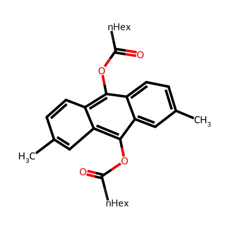 CCCCCCC(=O)Oc1c2ccc(C)cc2c(OC(=O)CCCCCC)c2cc(C)ccc12